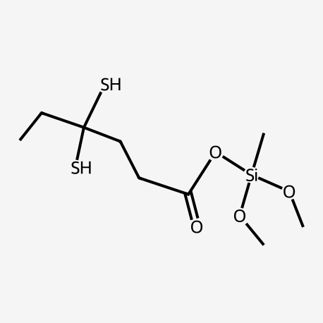 CCC(S)(S)CCC(=O)O[Si](C)(OC)OC